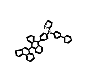 c1ccc(-c2ccc(N(c3ccc(-c4c5ccccc5c(-c5cc6ccccc6c6ccccc56)c5ccccc45)cc3)c3ccccn3)cc2)cc1